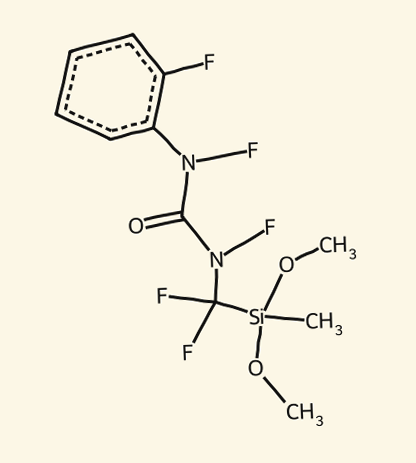 CO[Si](C)(OC)C(F)(F)N(F)C(=O)N(F)c1ccccc1F